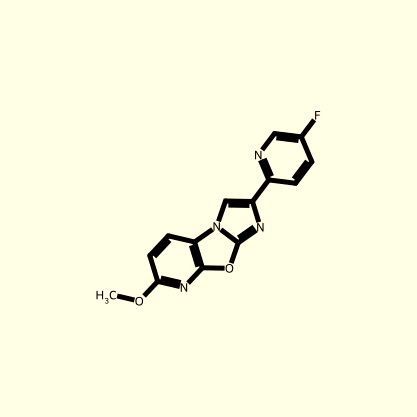 COc1ccc2c(n1)oc1nc(-c3ccc(F)cn3)cn12